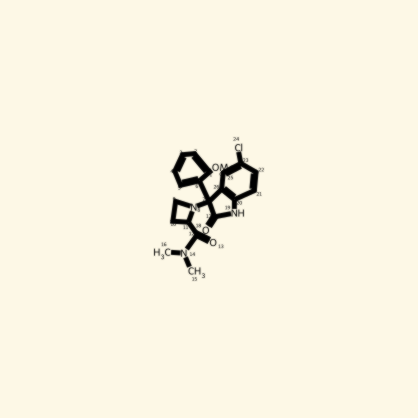 COc1ccccc1C1(N2CCC2C(=O)N(C)C)C(=O)Nc2ccc(Cl)cc21